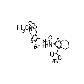 CC(C)OC(=O)c1c(NC(=O)NCc2c(Br)sc3c2CC[N+](C)(C)C3)sc2c1CCCC2